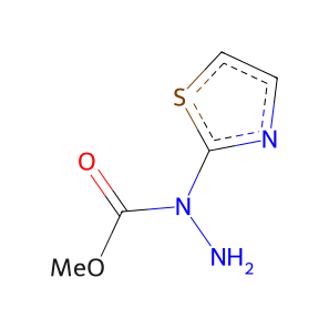 COC(=O)N(N)c1nccs1